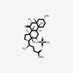 CC[C@H]1C(=O)[C@@H]2[C@H](C[C@H](OS(C)(=O)=O)[C@]3(C)[C@@H]([C@H](C)CCC(=O)OC)CC[C@@H]23)[C@@]2(C)CC[C@@H](OC(C)=O)C[C@@H]12